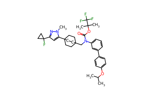 CC(C)Oc1ccc(-c2cccc(N(CC34CCC(c5cc(C6(F)CC6)nn5C)(CC3)CC4)C(=O)OC(C)(C)C(F)(F)F)c2)cc1